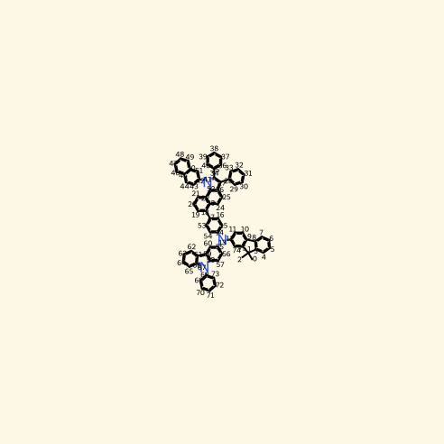 CC1(C)c2ccccc2-c2ccc(N(c3ccc(-c4cccc5c4ccc4c(-c6ccccc6)c(-c6ccccc6)n(-c6ccc7ccccc7c6)c45)cc3)c3ccc4c(c3)c3ccccc3n4-c3ccccc3)cc21